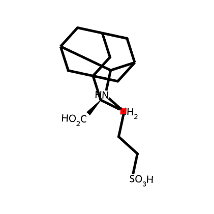 N[C@@H](C(=O)O)C12CC3CC(C1)C(NCCCS(=O)(=O)O)C(C3)C2